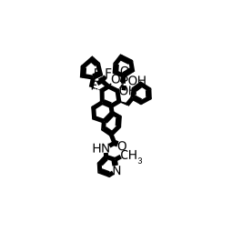 Cc1ncccc1NC(=O)c1ccc2c(c1)CCC1=C2[C@H](Cc2ccccc2)[C@@H](Cc2ccccc2)[C@](OP(=O)(O)O)(C(F)(F)F)[C@H]1Cc1ccccc1